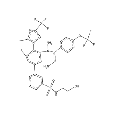 Cc1nc(C(F)(F)F)cn1-c1c(F)cc(-c2cccc(S(=O)(=O)NCCO)c2)cc1N(N)/C(=C\N)c1ccc(OC(F)(F)F)cc1